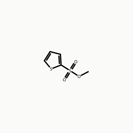 COS(=O)(=O)c1cccs1